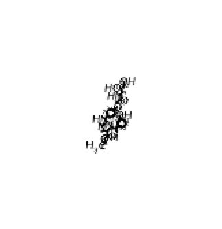 CCOC(=O)c1cnc(Nc2ccc(OCC(=O)NCC(O)CO)cc2)nc1Nc1cccc(O)c1